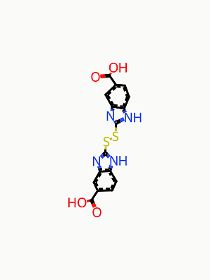 O=C(O)c1ccc2[nH]c(SSc3nc4cc(C(=O)O)ccc4[nH]3)nc2c1